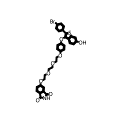 O=C1NC(=O)c2cc(OCCOCCOCCOc3ccc(Oc4c(-c5ccc(Br)cc5)sc5cc(O)ccc45)cc3)ccc21